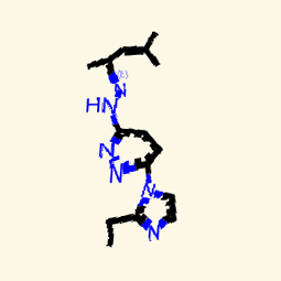 CCc1nccn1-c1ccc(N/N=C(\C)C=C(C)C)nn1